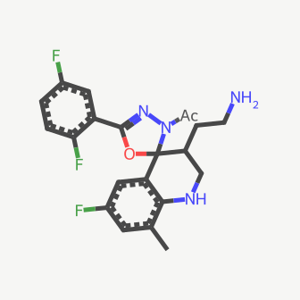 CC(=O)N1N=C(c2cc(F)ccc2F)OC12c1cc(F)cc(C)c1NCC2CCN